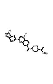 C=C(CCCC)N1CCN(C(=C)c2ccc3c(Cl)cc(-c4ccc5cn[nH]c5c4)nc3c2)CC1